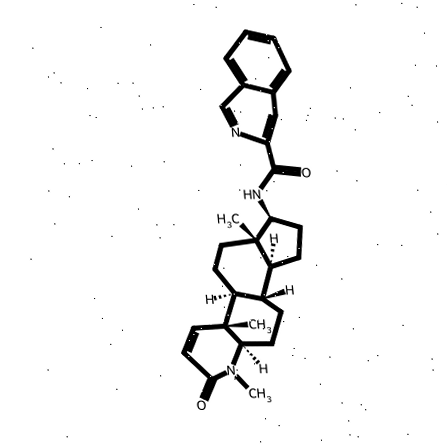 CN1C(=O)C=C[C@]2(C)[C@H]3CC[C@]4(C)[C@@H](NC(=O)c5cc6ccccc6cn5)CC[C@H]4[C@@H]3CC[C@@H]12